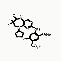 COc1cc(C(=O)O)c(F)cc1Nc1ncc2c(n1)N(C1CCCC1)CC(F)(F)C(=O)N2